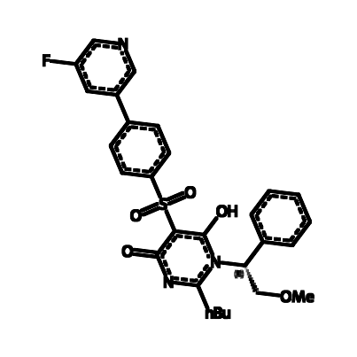 CCCCc1nc(=O)c(S(=O)(=O)c2ccc(-c3cncc(F)c3)cc2)c(O)n1[C@@H](COC)c1ccccc1